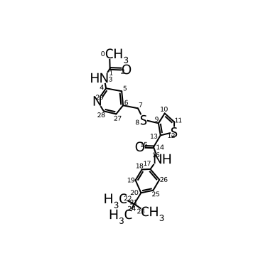 CC(=O)Nc1cc(CSc2ccsc2C(=O)Nc2ccc(C(C)(C)C)cc2)ccn1